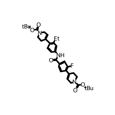 CCc1cc(NC(=O)c2ccc(C3=CCN(C(=O)OC(C)(C)C)CC3)c(F)c2)ccc1C1=CCN(C(=O)OC(C)(C)C)CC1